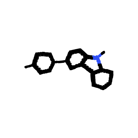 Cc1ccc(-c2ccc3c(c2)c2ccccc2n3C)cc1